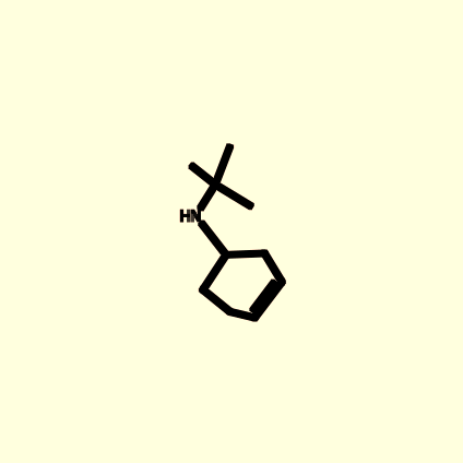 CC(C)(C)NC1CC=CCC1